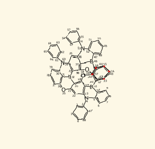 c1ccc(N2c3ccccc3B3c4ccccc4Oc4c5c(cc2c43)Oc2cccc3c2B5c2c(cc4c5c2Oc2ccccc2B5c2ccccc2N4c2ccccc2)N3c2ccccc2)cc1